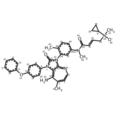 CC1=C=CN=c2c(n(-c3ccc(Oc4ccccc4)cc3)c(=O)n2-c2cc(N(C)C(=O)/C=C/C[N+](C)([O-])C3CC3)ccc2C)=C1N